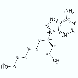 Nc1ncnc2c1ncn2[C@@H](CCO)CCCCCCO